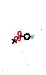 CC(C)(C)OOC(=O)c1ccc(F)cc1